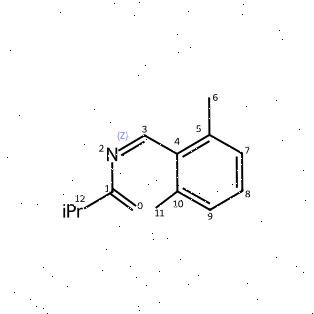 C=C(/N=C\c1c(C)cccc1C)C(C)C